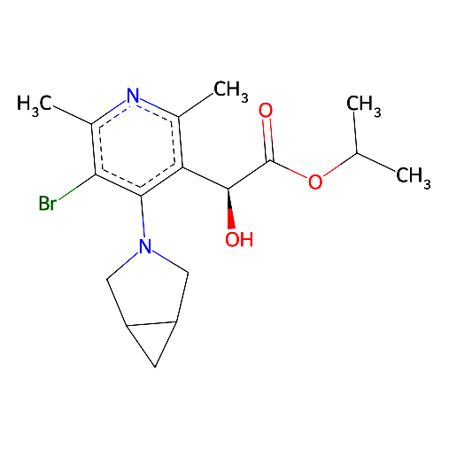 Cc1nc(C)c([C@H](O)C(=O)OC(C)C)c(N2CC3CC3C2)c1Br